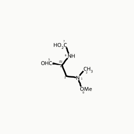 CON(C)C[C@@H](C=O)NC(=O)O